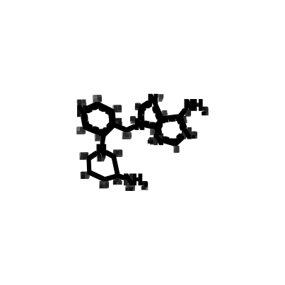 Nc1ncnc2c1ncn2Cc1ccncc1N1CCCC(N)C1